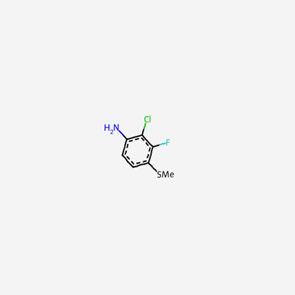 CSc1ccc(N)c(Cl)c1F